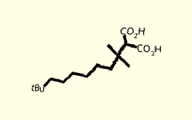 CC(C)(C)CCCCCCC(C)(C)C(C(=O)O)C(=O)O